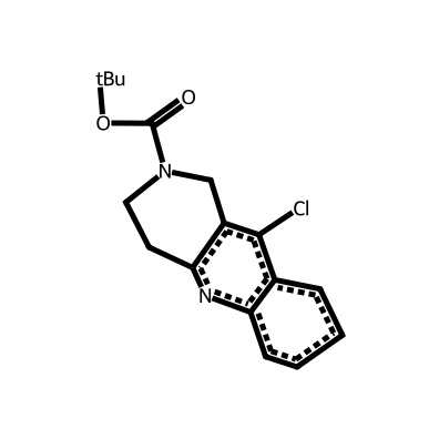 CC(C)(C)OC(=O)N1CCc2nc3ccccc3c(Cl)c2C1